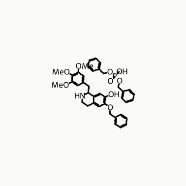 COc1cc(CC2NCCc3cc(OCc4ccccc4)c(O)cc32)cc(OC)c1OC.O=P(O)(OCc1ccccc1)OCc1ccccc1